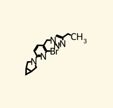 CCc1cn(Cc2ccc(N3CC4CC4C3)nc2Br)nn1